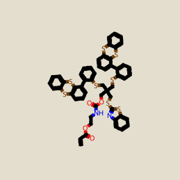 C=CC(=O)OCCNC(=O)OCC(CSc1nc2ccccc2s1)(CSc1ccccc1-c1cccc2c1Sc1ccccc1S2)CSc1ccccc1-c1cccc2c1Sc1ccccc1S2